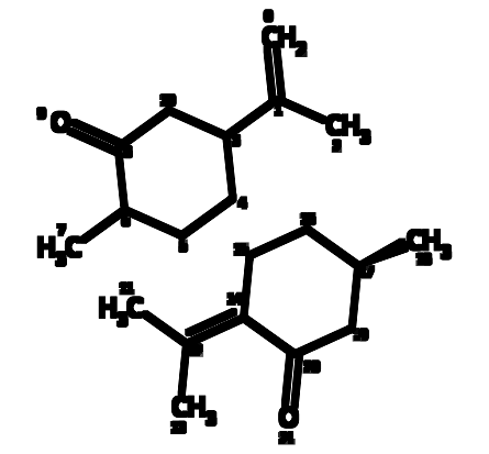 C=C(C)C1CCC(C)C(=O)C1.CC(C)=C1CC[C@@H](C)CC1=O